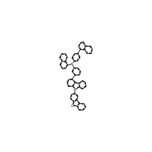 c1cc(-c2cccc3c2c2ccccc2n3-c2ccc3oc4ccccc4c3c2)cc(N(c2ccc(-c3cccc4ccccc34)cc2)c2cccc3ccccc23)c1